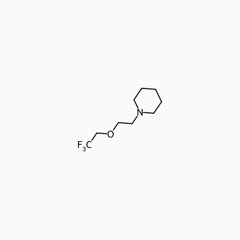 FC(F)(F)COCCN1CCCCC1